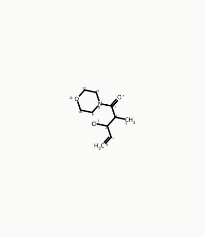 C=CC(Cl)C(C)C(=O)N1CCOCC1